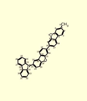 Cc1ccc2c(c1)oc1cc(-c3ccc4c(c3)oc3ccc(-n5c6ccccc6c6ccccc65)cc34)ccc12